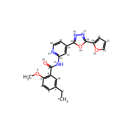 CCc1ccc(OC)c(C(=O)Nc2cc(-c3nnc(-c4ccco4)o3)ccn2)c1